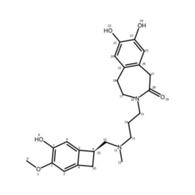 COc1cc2c(cc1O)[C@@H](CN(C)CCCN1CCc3cc(O)c(O)cc3CC1=O)C2